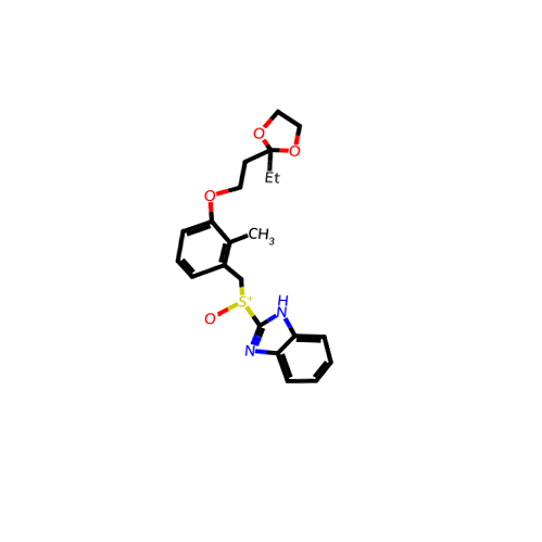 CCC1(CCOc2cccc(C[S+]([O-])c3nc4ccccc4[nH]3)c2C)OCCO1